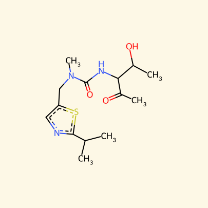 CC(=O)C(NC(=O)N(C)Cc1cnc(C(C)C)s1)C(C)O